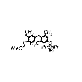 C=Cc1cc(Cc2c(C)cc(O[Si](C(C)C)(C(C)C)C(C)C)cc2C)ccc1OCOC